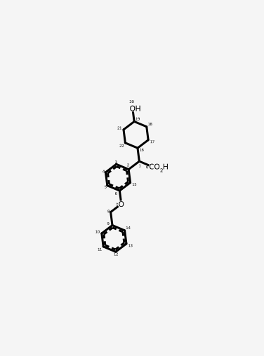 O=C(O)C(c1cccc(OCc2ccccc2)c1)C1CCC(O)CC1